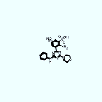 Nc1c(-c2nc(Nc3ccccc3)nc(N3CCOCC3)n2)cccc1S(=O)(=O)O.[Na].[Na]